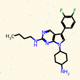 CCCCNc1ncc2c(-c3ccc(F)c(F)c3)cn(C3CCC(N)CC3)c2n1